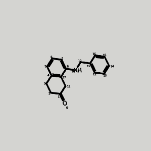 O=C1CCc2cccc(NCc3ccccc3)c2C1